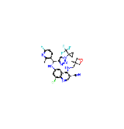 Cc1nc(F)ccc1C(Nc1cc(Cl)c2ncc(C#N)c(NCC3(C)COC3)c2c1)c1cn(C2(C(F)(F)F)CC2)nn1